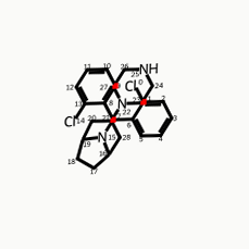 Clc1ccccc1C(c1ccccc1Cl)N1C2CCC1CC(N1CCNCC1)C2